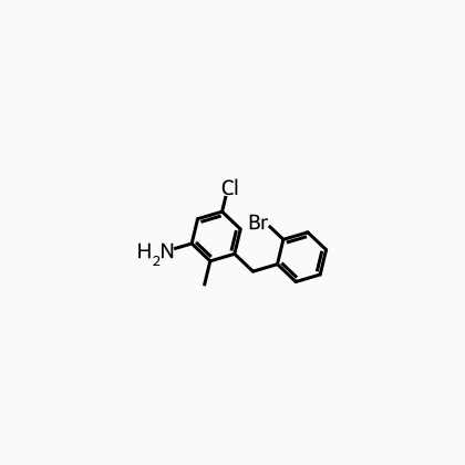 Cc1c(N)cc(Cl)cc1Cc1ccccc1Br